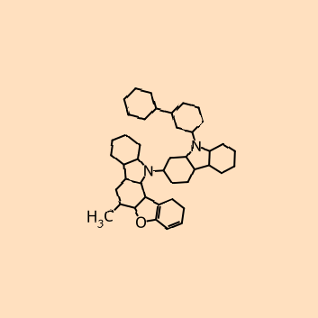 CC1CC2C3CCCCC3N(C3CCC4C5CCCCC5N(C5CCCC(C6CCCCC6)C5)C4C3)C2C2C3=C(C=CCC3)OC12